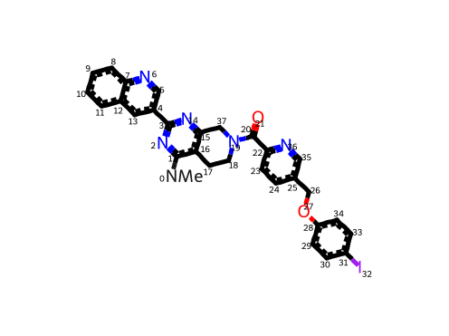 CNc1nc(-c2cnc3ccccc3c2)nc2c1CCN(C(=O)c1ccc(COc3ccc(I)cc3)cn1)C2